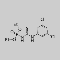 CCOP(=O)(NC(=S)Nc1cc(Cl)cc(Cl)c1)OCC